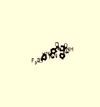 O=C(c1ccc2c(Nc3ccc(OC(F)(F)F)cc3)ncnc2c1)N1CCC2(CC1)C(=O)NCN2c1ccccc1